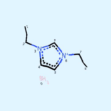 B.CCn1cc[n+](CC)c1